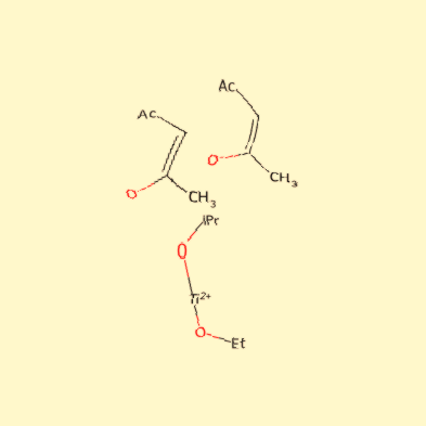 CC(=O)/C=C(/C)[O-].CC(=O)/C=C(/C)[O-].CC[O][Ti+2][O]C(C)C